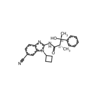 C[C@H](C(=O)Nc1nc2ccc(C#N)cc2n1C1CCC1)[C@](C)(O)c1ccccc1